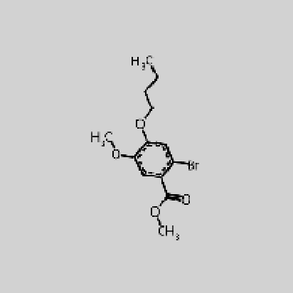 CCCCOc1cc(Br)c(C(=O)OC)cc1OC